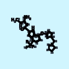 CNC(N)=NC(=O)c1cc2c(C(F)(F)F)ccc(Oc3ccc(CN4CCCC4)s3)c2[nH]1